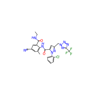 CCNC(=O)c1cc(C#N)cc(C)c1NC(=O)c1cc(Cn2nnc(C(F)(F)F)n2)nn1-c1ccccc1Cl